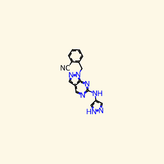 N#Cc1ccccc1Cn1ncc2cnc(Nc3cn[nH]c3)nc21